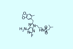 Cc1cc2c(cc1Cc1nc3c(N)nc(F)nc3n1CCCNS(=O)(=O)CC(C)C)OCO2